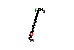 CC(C)CCCOCCCCCCCCCCCCCCC(C)F